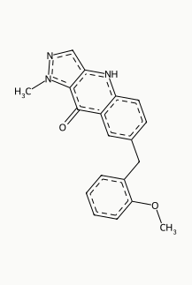 COc1ccccc1Cc1ccc2[nH]c3cnn(C)c3c(=O)c2c1